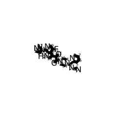 N#C/N=C(\c1ccccn1)N1CCN(C(=O)C(=O)c2c[nH]c3c(-n4ccnn4)ncc(F)c23)CC1